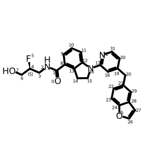 O=C(NC[C@H](F)CO)c1cccc2c1CCN2c1cc(Cc2ccc3occc3c2)ccn1